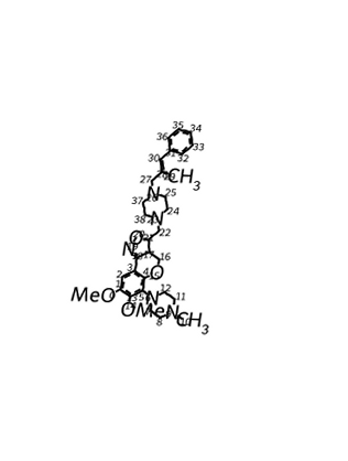 COc1cc2c(c(N3CCN(C)CC3)c1OC)OCC1C2=NOC1CN1CCN(C/C(C)=C/c2ccccc2)CC1